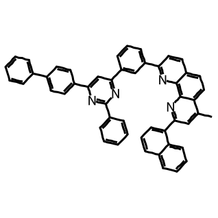 Cc1cc(-c2cccc3ccccc23)nc2c1ccc1ccc(-c3cccc(-c4cc(-c5ccc(-c6ccccc6)cc5)nc(-c5ccccc5)n4)c3)nc12